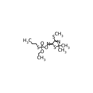 CCCSP(=O)(OCC)ON=C1SC(C)(C)N=C1SC